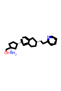 C=C(/C=C1/CC[C@@H](CCc2ccccn2)C/C1=C/C)[C@H]1CC[C@](N)(CO)C1